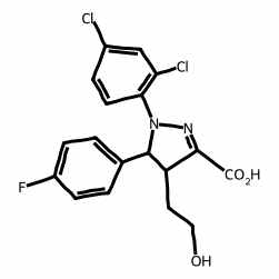 O=C(O)C1=NN(c2ccc(Cl)cc2Cl)C(c2ccc(F)cc2)C1CCO